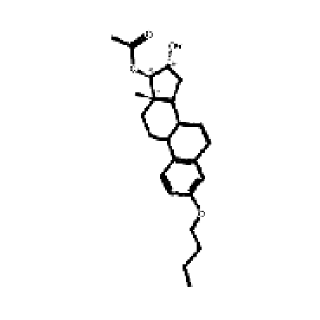 CCCCOc1ccc2c(c1)CCC1C2CC[C@@]2(C)C1C[C@@H](O)[C@@H]2OC(C)=O